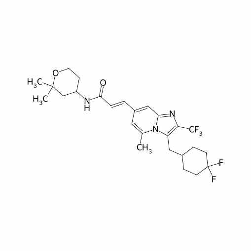 Cc1cc(/C=C/C(=O)NC2CCOC(C)(C)C2)cc2nc(C(F)(F)F)c(CC3CCC(F)(F)CC3)n12